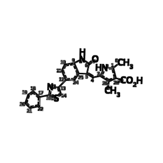 Cc1[nH]c(C=C2C(=O)Nc3ccc(-c4csc(-c5ccccc5)n4)cc32)c(C)c1C(=O)O